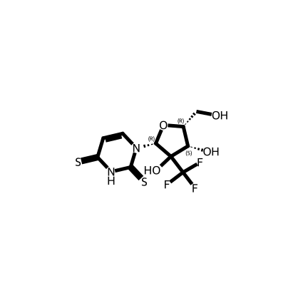 OC[C@H]1O[C@@H](n2ccc(=S)[nH]c2=S)C(O)(C(F)(F)F)[C@H]1O